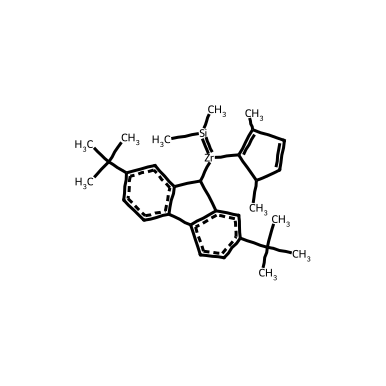 CC1=[C]([Zr]([CH]2c3cc(C(C)(C)C)ccc3-c3ccc(C(C)(C)C)cc32)=[Si](C)C)C(C)C=C1